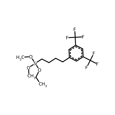 CCO[Si](CCCCc1cc(C(F)(F)F)cc(C(F)(F)F)c1)(OC)OC